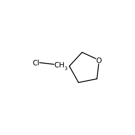 C1CCOC1.CCl